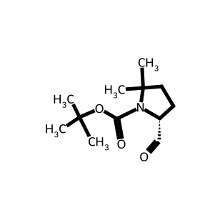 CC(C)(C)OC(=O)N1[C@@H](C=O)CCC1(C)C